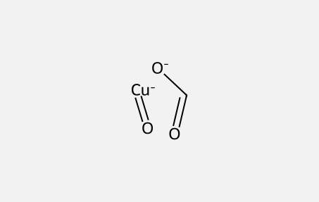 O=C[O-].[O]=[Cu-]